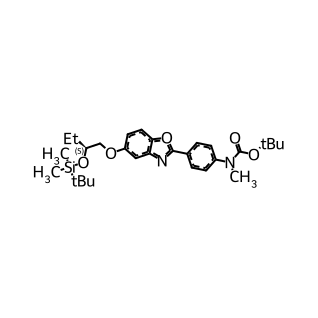 CC[C@@H](COc1ccc2oc(-c3ccc(N(C)C(=O)OC(C)(C)C)cc3)nc2c1)O[Si](C)(C)C(C)(C)C